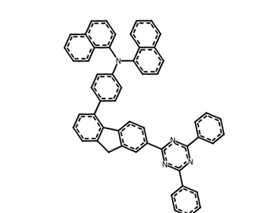 c1ccc(-c2nc(-c3ccccc3)nc(-c3ccc4c(c3)Cc3cccc(-c5ccc(N(c6cccc7ccccc67)c6cccc7ccccc67)cc5)c3-4)n2)cc1